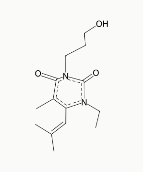 CCn1c(C=C(C)C)c(C)c(=O)n(CCCO)c1=O